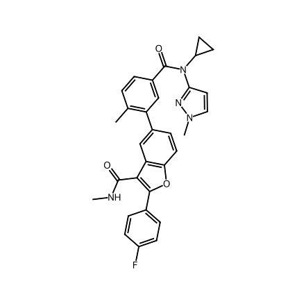 CNC(=O)c1c(-c2ccc(F)cc2)oc2ccc(-c3cc(C(=O)N(c4ccn(C)n4)C4CC4)ccc3C)cc12